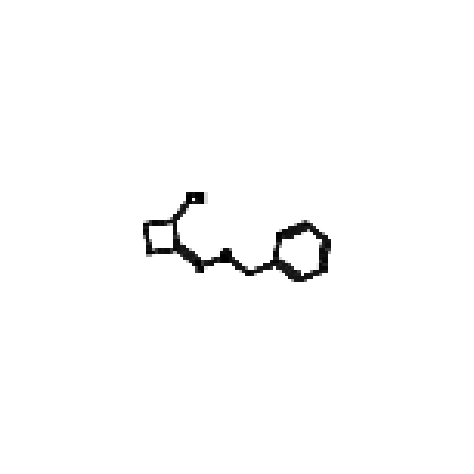 N#CC1CC/C1=N/OCc1ccccc1